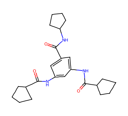 O=C(NC1CCCC1)c1cc(NC(=O)C2CCCC2)cc(NC(=O)C2CCCC2)c1